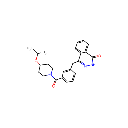 CC(C)OC1CCN(C(=O)c2cccc(Cc3n[nH]c(=O)c4ccccc34)c2)CC1